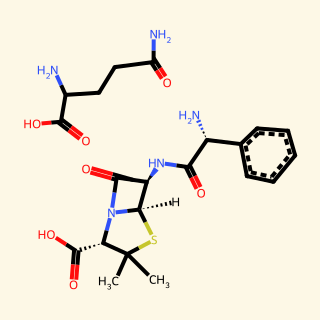 CC1(C)S[C@@H]2[C@H](NC(=O)[C@H](N)c3ccccc3)C(=O)N2[C@H]1C(=O)O.NC(=O)CCC(N)C(=O)O